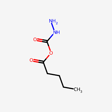 CCCCC(=O)OC(=O)NN